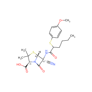 CCCCC(Sc1ccc(OC)cc1)C(=O)N[C@@]1(C#N)C(=O)N2[C@@H](C(=O)O)C(C)(C)S[C@@H]21